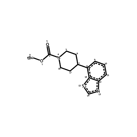 CC(C)(C)OC(=O)N1CCC(c2cccc3ncsc23)CC1